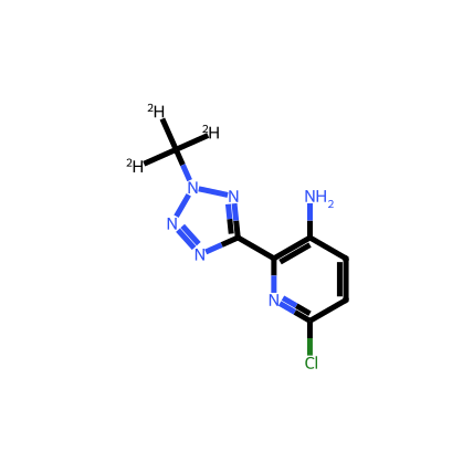 [2H]C([2H])([2H])n1nnc(-c2nc(Cl)ccc2N)n1